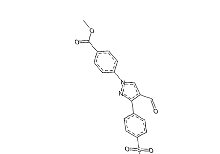 COC(=O)c1ccc(-n2cc(C=O)c(-c3ccc(S(C)(=O)=O)cc3)n2)cc1